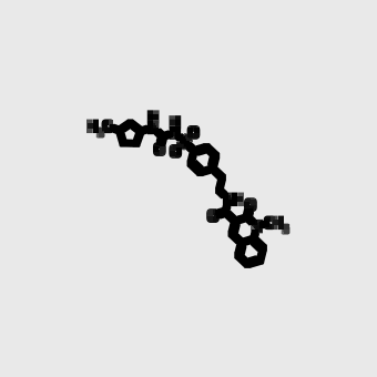 CC1CCC(NC(=O)NS(=O)(=O)c2ccc(CCNC(=O)c3cc4ccccc4n(C)c3=O)cc2)C1